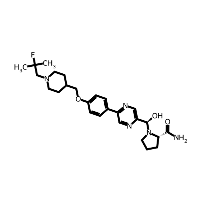 CC(C)(F)CN1CCC(COc2ccc(-c3cnc([C@@H](O)N4CCC[C@H]4C(N)=O)cn3)cc2)CC1